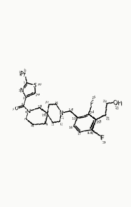 CC(C)c1nc(C(=O)N2CCCC3(CCN(Cc4ccc(F)c(CCO)c4F)CC3)C2)cs1